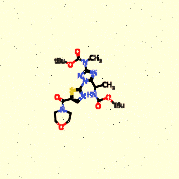 CC(NC(=O)OC(C)(C)C)c1nc(N(C)C(=O)OC(C)(C)C)nn1-c1ncc(C(=O)N2CCOCC2)s1